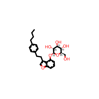 CCCCc1ccc(CCc2coc3cccc(O[C@@H]4O[C@H](CO)[C@@H](O)[C@H](O)[C@H]4O)c23)cc1